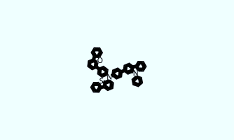 c1ccc(-n2c3ccccc3c3ccc(-c4ccc(N(c5ccc(-c6cccc7c6oc6ccccc67)cc5)c5cccc6c5sc5ccccc56)cc4)cc32)cc1